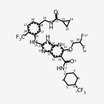 O=C(N[C@H]1CC[C@H](C(F)(F)F)CC1)c1cc2nc(Nc3cc(CNC(=O)C4CC4)ccc3C(F)(F)F)[nH]c2nc1OCC(F)F